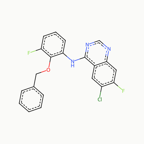 Fc1cc2ncnc(Nc3cccc(F)c3OCc3ccccc3)c2cc1Cl